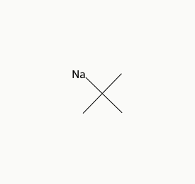 C[C](C)(C)[Na]